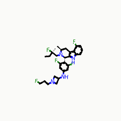 CC[C@@](C)(F)CN1[C@@H](c2c(F)cc(NC3CN(CCCF)C3)cc2F)c2[nH]c3cccc(F)c3c2C[C@@H]1C